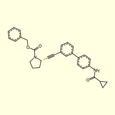 O=C(Nc1ccc(-c2cccc(C#C[C@@H]3CCCN3C(=O)OCc3ccccc3)c2)cc1)C1CC1